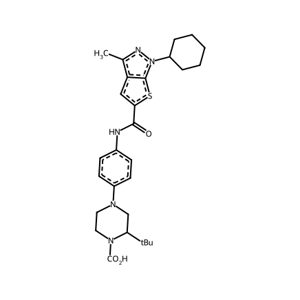 Cc1nn(C2CCCCC2)c2sc(C(=O)Nc3ccc(N4CCN(C(=O)O)C(C(C)(C)C)C4)cc3)cc12